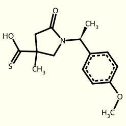 COc1ccc([C@H](C)N2CC(C)(C(O)=S)CC2=O)cc1